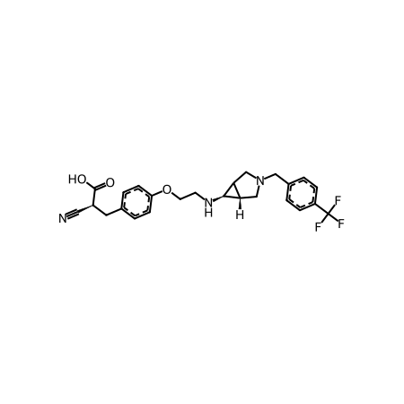 N#C[C@H](Cc1ccc(OCCN[C@H]2C3CN(Cc4ccc(C(F)(F)F)cc4)C[C@@H]32)cc1)C(=O)O